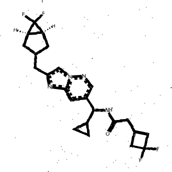 O=C(CC1CC(F)(F)C1)NC(c1cnn2cc(CC3C[C@@H]4[C@H](C3)C4(F)F)nc2c1)C1CC1